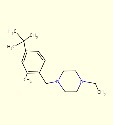 CCN1CCN(Cc2ccc(C(C)(C)C)cc2C)CC1